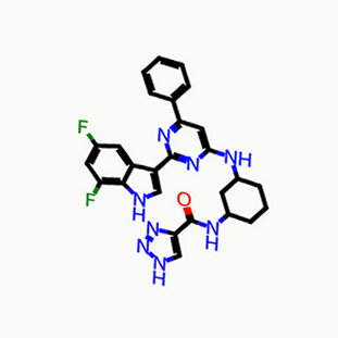 O=C(NC1CCCC(Nc2cc(-c3ccccc3)nc(-c3c[nH]c4c(F)cc(F)cc34)n2)C1)c1c[nH]nn1